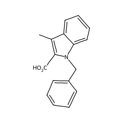 Cc1c(C(=O)O)n(Cc2ccccc2)c2ccccc12